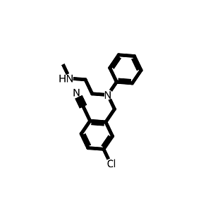 CNCCN(Cc1cc(Cl)ccc1C#N)c1ccccc1